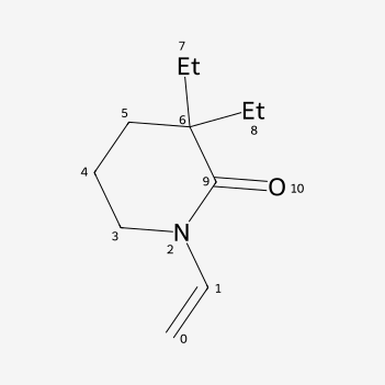 C=CN1CCCC(CC)(CC)C1=O